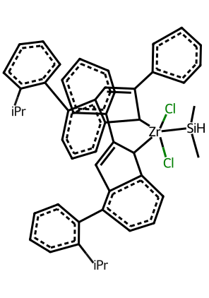 CC(C)c1ccccc1-c1cccc2c1C=C(c1ccccc1)[CH]2[Zr]([Cl])([Cl])([CH]1C(c2ccccc2)=Cc2c(-c3ccccc3C(C)C)cccc21)[SiH](C)C